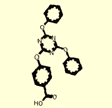 O=C(O)c1ccc(Oc2nc(Oc3ccccc3)nc(Oc3ccccc3)n2)cc1